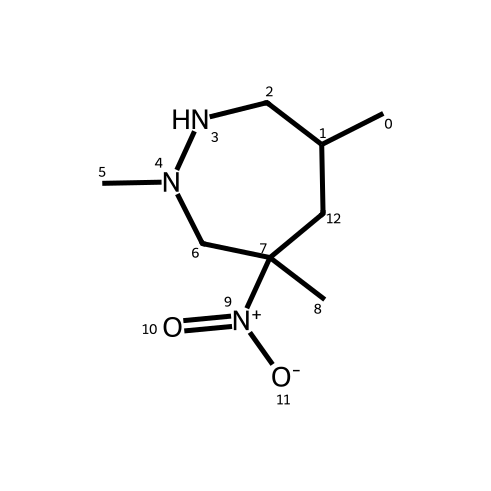 CC1CNN(C)CC(C)([N+](=O)[O-])C1